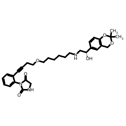 CC1(C)OCc2cc([C@H](O)CNCCCCCCOCCC#Cc3ccccc3N3C(=O)CNC3=O)ccc2O1